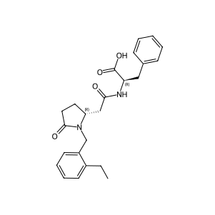 CCc1ccccc1CN1C(=O)CC[C@@H]1CC(=O)N[C@H](Cc1ccccc1)C(=O)O